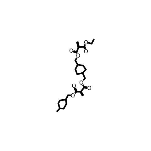 C=C(C(=O)OCC)C(=O)OCC1CCC(COC(=O)C(=C)C(=O)OCC2CCC(C)CC2)CC1